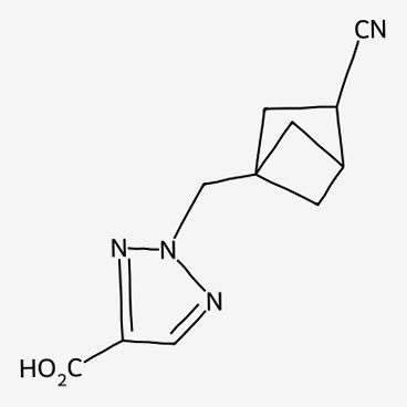 N#CC1CC2(Cn3ncc(C(=O)O)n3)CC1C2